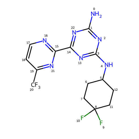 Nc1nc(NC2CCC(F)(F)CC2)nc(-c2nccc(C(F)(F)F)n2)n1